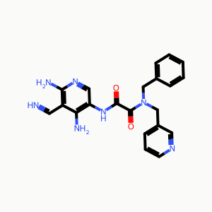 N=Cc1c(N)ncc(NC(=O)C(=O)N(Cc2ccccc2)Cc2cccnc2)c1N